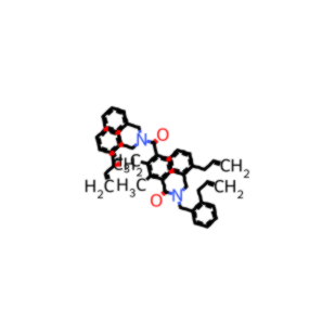 C=CCc1ccccc1CN(Cc1ccccc1CC=C)C(=O)c1ccc(C(=O)N(Cc2ccccc2CC=C)Cc2ccccc2CC=C)c(C)c1C